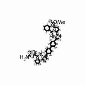 COC(=O)N[C@@H]1CCCC[C@@H]1C(=O)N1CCC[C@H]1c1ncc(-c2ccc(-c3ccc(-c4cnc([C@@H]5CCCN5C(=O)[C@@H](OC(N)=O)C(C)C)[nH]4)cc3)cc2)[nH]1